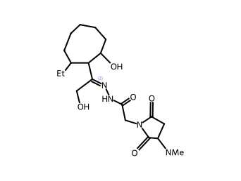 CCC1CCCCCC(O)C1/C(CO)=N/NC(=O)CN1C(=O)CC(NC)C1=O